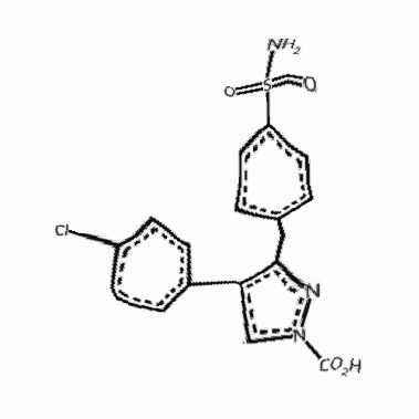 NS(=O)(=O)c1ccc(-c2nn(C(=O)O)[c]c2-c2ccc(Cl)cc2)cc1